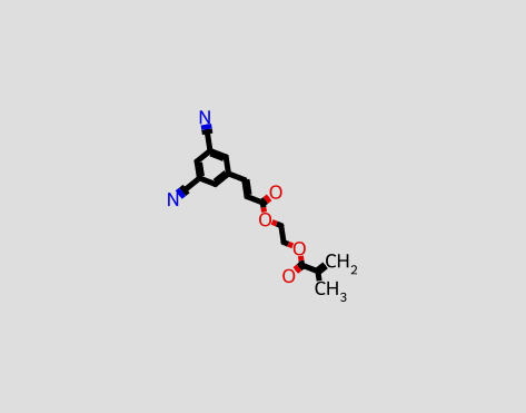 C=C(C)C(=O)OCCOC(=O)/C=C/c1cc(C#N)cc(C#N)c1